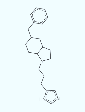 c1ccc(CC2CCC3C(CCN3CCCc3cnc[nH]3)C2)cc1